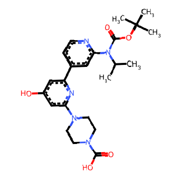 CC(C)N(C(=O)OC(C)(C)C)c1cc(-c2cc(O)cc(N3CCN(C(=O)O)CC3)n2)ccn1